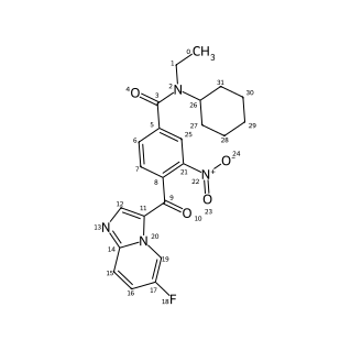 CCN(C(=O)c1ccc(C(=O)c2cnc3ccc(F)cn23)c([N+](=O)[O-])c1)C1CCCCC1